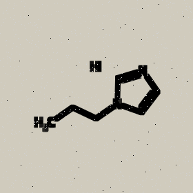 CCCn1ccnc1.I